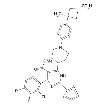 COC(=O)C1=C(C2CCN(c3ncc([C@]4(C)C[C@@H](C(=O)O)C4)cn3)CC2)NC(c2nccs2)=NC1c1ccc(F)c(F)c1Cl